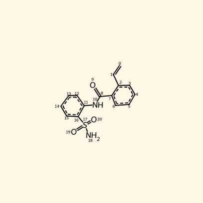 C=Cc1ccccc1C(=O)Nc1ccccc1S(N)(=O)=O